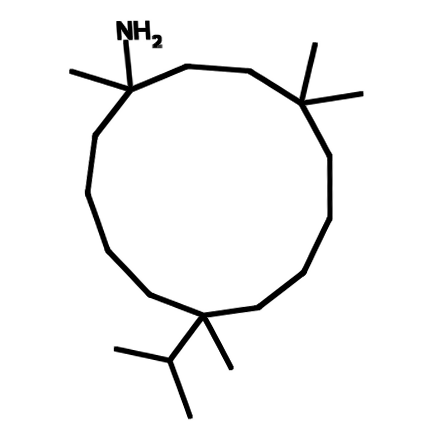 CC(C)C1(C)CCCCC(C)(C)CCC(C)(N)CCCC1